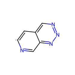 [c]1cc2cnnnc2cn1